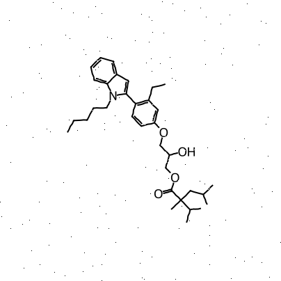 CCCCCn1c(-c2ccc(OCC(O)COC(=O)C(C)(CC(C)C)C(C)C)cc2CC)cc2ccccc21